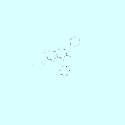 COc1ccc(-c2cc3cnc(NCC(F)(F)F)nc3n(-c3ccc(OC(F)(F)F)cc3)c2=O)cc1